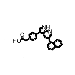 O=C(O)Cc1ccc(-c2c[nH]c3ncc(-c4cccc5ccccc45)cc23)cc1